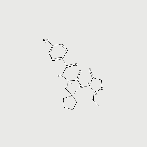 CC[C@@H]1OCC(=O)[C@H]1NC(=O)[C@H](CC1(C)CCCC1)NC(=O)c1ccc(N)cc1